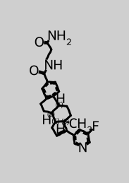 C[C@]12CC[C@@H]3c4ccc(C(=O)NCCC(N)=O)cc4CC[C@H]3[C@@H]1CC=C2c1cncc(F)c1